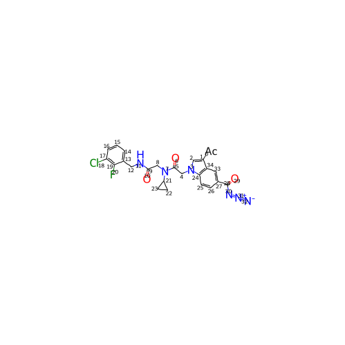 CC(=O)c1cn(CC(=O)N(CC(=O)NCc2cccc(Cl)c2F)C2CC2)c2ccc(C(=O)N=[N+]=[N-])cc12